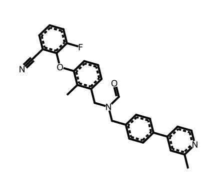 Cc1cc(-c2ccc(CN(C=O)Cc3cccc(Oc4c(F)cccc4C#N)c3C)cc2)ccn1